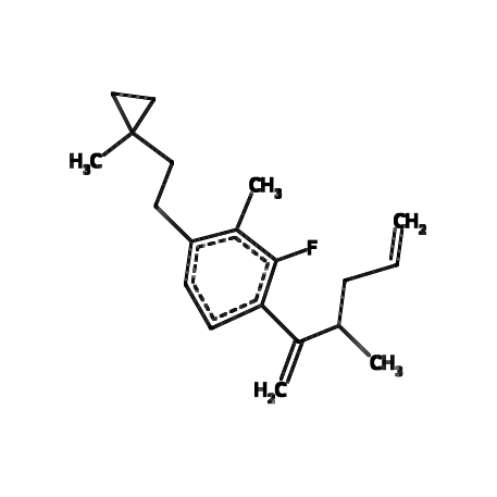 C=CCC(C)C(=C)c1ccc(CCC2(C)CC2)c(C)c1F